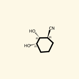 N#C[C@H]1CCC[C@H](O)[C@@H]1O